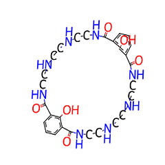 O=C1NCCNCCNCCNC(=O)c2cccc(c2O)C(=O)NCCNCCNCCNC(=O)c2cccc1c2O